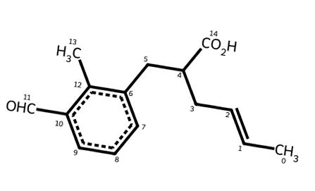 CC=CCC(Cc1cccc(C=O)c1C)C(=O)O